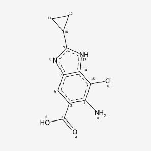 Nc1c(C(=O)O)cc2nc(C3CC3)[nH]c2c1Cl